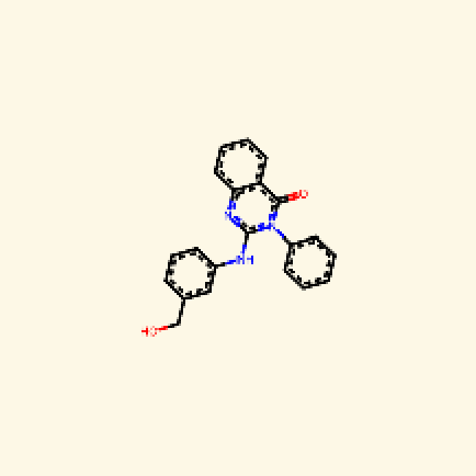 O=c1c2ccccc2nc(Nc2cccc(CO)c2)n1-c1ccccc1